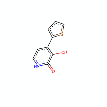 O=c1[nH]ccc(-c2cccs2)c1O